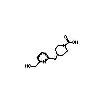 O=C(O)N1CCC(Cc2cccc(CO)n2)CC1